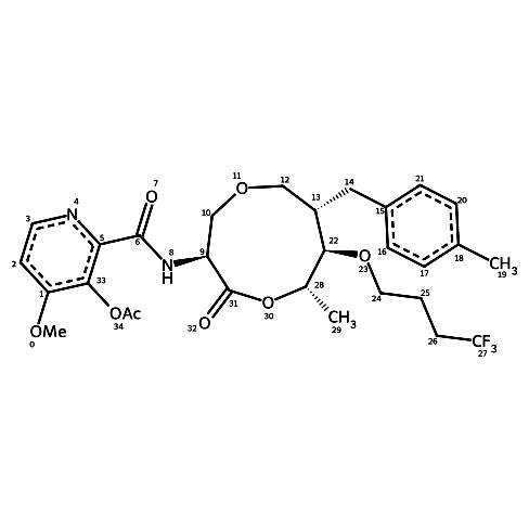 COc1ccnc(C(=O)N[C@H]2COC[C@H](Cc3ccc(C)cc3)[C@@H](OCCCC(F)(F)F)[C@H](C)OC2=O)c1OC(C)=O